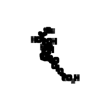 CC(CC(C)(C)C)[C@H](O)CC[C@@H]1[C@H]2Cc3cccc(OCC(=O)OCCOCCC(=O)O)c3C[C@H]2C[C@H]1O